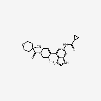 C[C@@H]1CN(C(=O)C2(C#N)CCOCC2)CC=C1c1cc(NC(=O)C2CC2)nc2[nH]ccc12